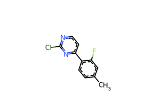 Cc1ccc(-c2ccnc(Cl)n2)c(F)c1